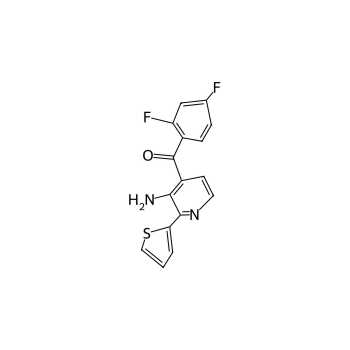 Nc1c(C(=O)c2ccc(F)cc2F)ccnc1-c1cccs1